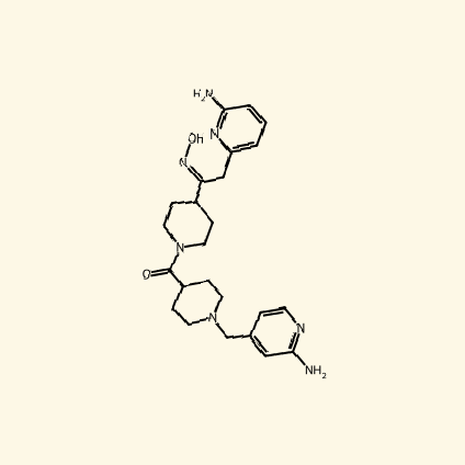 Nc1cc(CN2CCC(C(=O)N3CCC(C(Cc4cccc(N)n4)=NO)CC3)CC2)ccn1